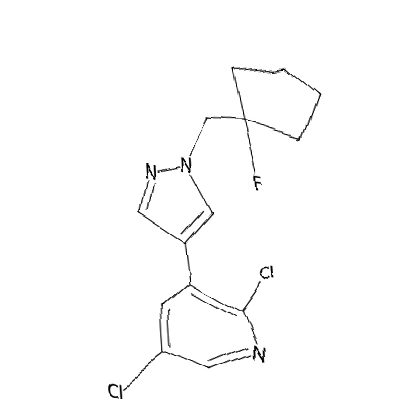 FC1(Cn2cc(-c3cc(Cl)cnc3Cl)cn2)CCCC1